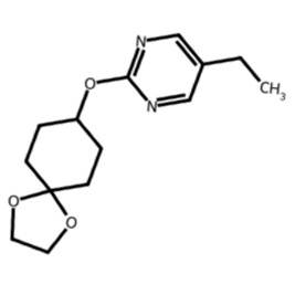 CCc1cnc(OC2CCC3(CC2)OCCO3)nc1